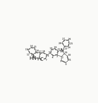 C1=CC2c3cc(-c4ccc5[nH]c6ccccc6c5c4)ccc3N(c3ccccc3)C2C=C1